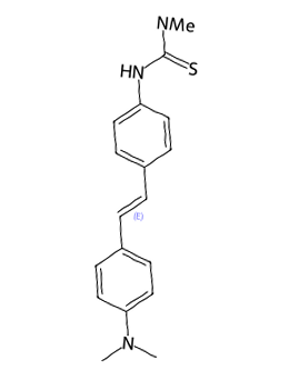 CNC(=S)Nc1ccc(/C=C/c2ccc(N(C)C)cc2)cc1